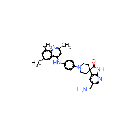 Cc1cc(C)c2nc(C)cc(Nc3ccc(N4CCC5(CC4)C(=O)Nc4ncc(CN)cc45)cc3)c2c1